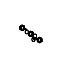 O=C(Oc1ccc(OCc2ccccc2)cc1)c1ccccc1